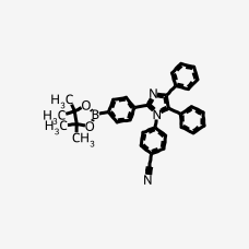 CC1(C)OB(c2ccc(-c3nc(-c4ccccc4)c(-c4ccccc4)n3-c3ccc(C#N)cc3)cc2)OC1(C)C